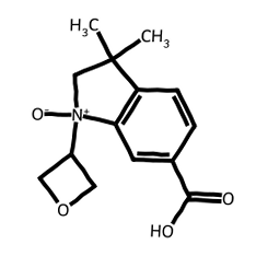 CC1(C)C[N+]([O-])(C2COC2)c2cc(C(=O)O)ccc21